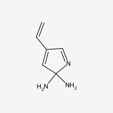 C=CC1=CC(N)(N)N=C1